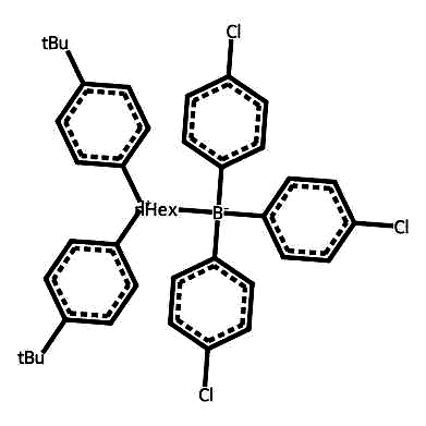 CC(C)(C)c1ccc([I+]c2ccc(C(C)(C)C)cc2)cc1.CCCCCC[B-](c1ccc(Cl)cc1)(c1ccc(Cl)cc1)c1ccc(Cl)cc1